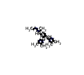 C=C/C=C\C=C(/C=C)Nc1ncc(NCC(/C=C\C=C)=C/C=C)c(OC(/C=C\C=C)=C/C=C)n1